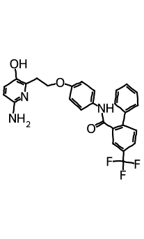 Nc1ccc(O)c(CCOc2ccc(NC(=O)c3cc(C(F)(F)F)ccc3-c3ccccc3)cc2)n1